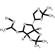 CCOC(C)OC1O[C@H](C2COC(C)(C)O2)[C@@H]2OC(C)(C)O[C@H]12